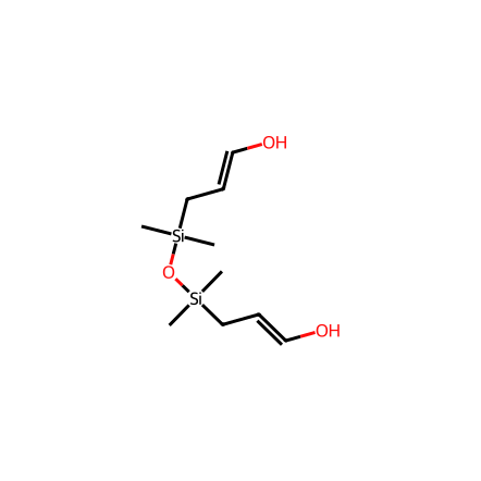 C[Si](C)(CC=CO)O[Si](C)(C)CC=CO